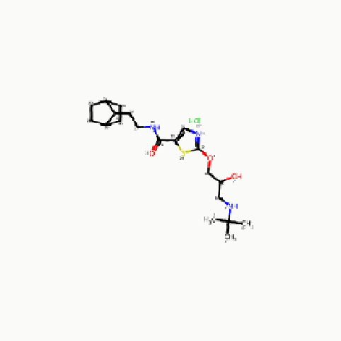 CC(C)(C)NCC(O)COc1ncc(C(=O)NCCC2C3CCC2CC3)s1.Cl